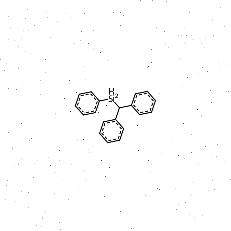 [c]1ccccc1[SiH2]C(c1ccccc1)c1ccccc1